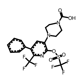 O=C(O)N1CCN(c2cc(-c3ccccc3)c(C(F)(F)F)nc2OS(=O)(=O)C(F)(F)F)CC1